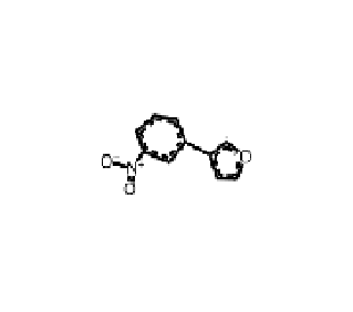 O=[N+]([O-])c1cccc(-c2[c]occ2)c1